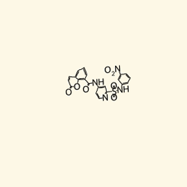 O=C(Nc1ccnc(S(=O)(=O)Nc2cccc([N+](=O)[O-])c2)c1)c1cccc2ccc(=O)oc12